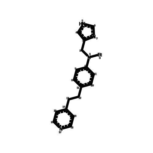 CCN(Cc1c[nH]cn1)c1ccc(CCc2ccncc2)cc1